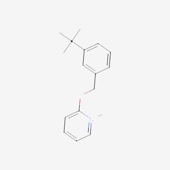 CC(C)(C)c1cccc(COc2cccc[n+]2[O-])c1